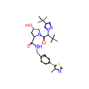 Cc1ncsc1-c1ccc(CNC(=O)C2CC(O)CN2C(=O)C(n2cc(C(C)(C)C)cn2)C(C)(C)C)cc1